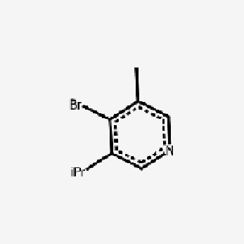 Cc1cncc(C(C)C)c1Br